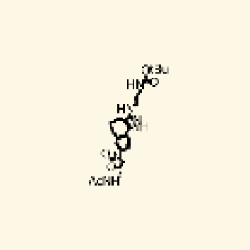 CC(=O)NC[C@H]1CN(c2ccc3c(c2)CCCc2c(NCCCNC(=O)OC(C)(C)C)n[nH]c2-3)C(=O)O1